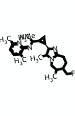 CNn1c(C)ccc(C)/c1=N/C(C)C1C[C@H]1C1N=C2CCC(CF)C(C)CN2C1C